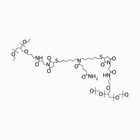 CCOC(C)(C)CC(COCCCNC(=O)CCN1C(=O)CC(SCCCCCCN(CCCCCCSC2CC(=O)N(CCC(=O)NCCCOCC(CC(C)(C)OCC(C)(C)OC)C(C)(C)OCC(C)(C)OC)C2=O)C(=O)CCCC(N)=O)C1=O)C(C)(C)OCC